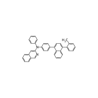 Cc1ccccc1-c1ccc(-c2ccc(N(c3ccccc3)c3cc4ccccc4cn3)cc2)c2ccccc12